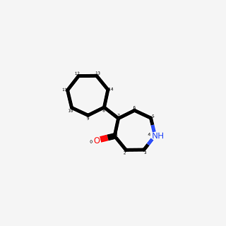 O=C1CCNCCC1C1CCCCCC1